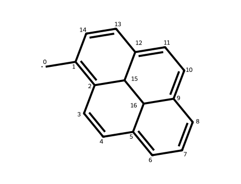 [CH2]C1=C2C=CC3=CC=CC4=CC=C(C=C1)C2C34